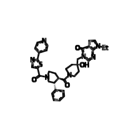 CCn1ccc2c(=O)n(CC3(O)CCN(C(=O)[C@@H]4CCN(C(=O)c5cnc(-c6ccncc6)s5)C[C@H]4c4ccccc4)CC3)cnc21